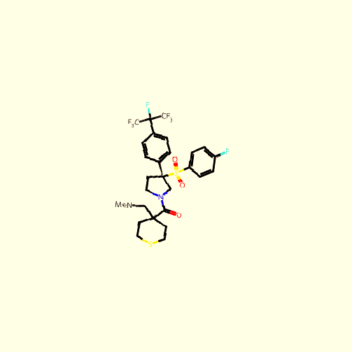 CNCC1(C(=O)N2CC[C@](c3ccc(C(F)(C(F)(F)F)C(F)(F)F)cc3)(S(=O)(=O)c3ccc(F)cc3)C2)CCSCC1